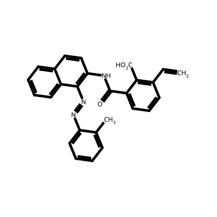 C=Cc1cccc(C(=O)Nc2ccc3ccccc3c2N=Nc2ccccc2C)c1C(=O)O